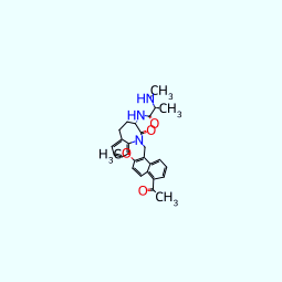 CN[C@@H](C)C(=O)N[C@H]1CCc2ccccc2N(Cc2c(OC)ccc3c(C(C)=O)cccc23)C1=O